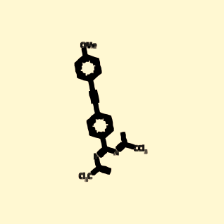 C=C(/N=C(\N=C(/C)C(Cl)(Cl)Cl)c1ccc(C#Cc2ccc(OC)cc2)cc1)C(Cl)(Cl)Cl